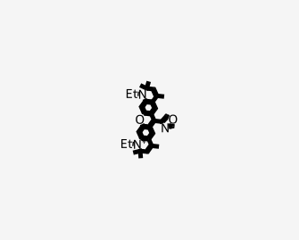 CCN1c2cc3c(cc2C(C)=CC1(C)C)C(c1cocn1)=c1cc2c(cc1O3)=[N+](CC)C(C)(C)C=C2C